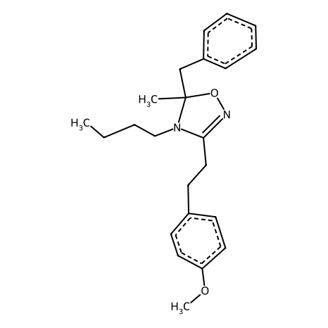 CCCCN1C(CCc2ccc(OC)cc2)=NOC1(C)Cc1ccccc1